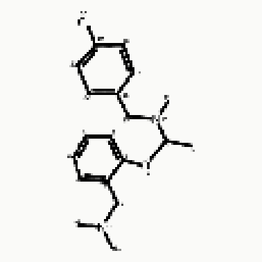 CC(Oc1ccccc1CN(C)C)N(C)Cc1ccc(Cl)cc1